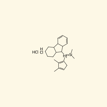 CC1=CC[C]([Hf]([CH]2C3C=CC=CC3C3CCCCC32)=[Si](C)C)=C1C.Cl.Cl